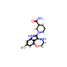 NC(=O)C1CCCN(c2[nH]c3cc(Br)cc4c3c2NCCO4)C1